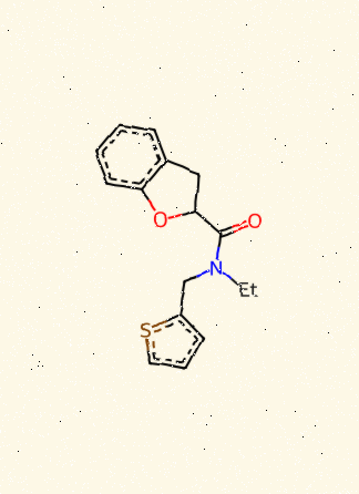 CCN(Cc1cccs1)C(=O)C1Cc2ccccc2O1